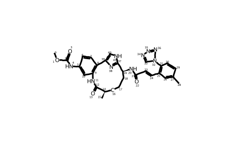 COC(=O)Nc1ccc2c(c1)NC(=O)[C@H](C)CCC[C@H](NC(=O)/C=C/c1cc(C)ccc1-n1cnnn1)c1nc-2c[nH]1